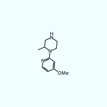 COc1ccnc(N2CCNCC2C)c1